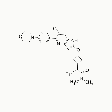 CC(C(=O)N(C)C)[C@H]1C[C@@H](Oc2nc3nc(-c4ccc(N5CCOCC5)cc4)c(Cl)cc3[nH]2)C1